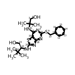 CC(C)(CO)Nc1nc(SCc2ccccc2)nc2nc(N[C@H](CO)C(C)(C)C)sc12